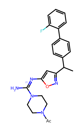 CC(=O)N1CCN(/C(N)=N\c2cc(C(C)c3ccc(-c4ccccc4F)cc3)no2)CC1